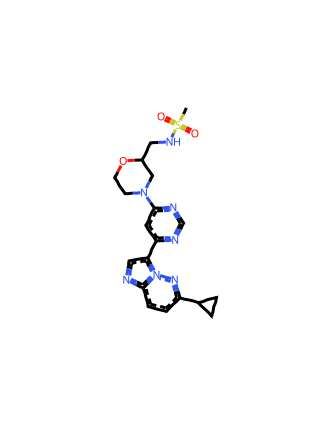 CS(=O)(=O)NCC1CN(c2cc(-c3cnc4ccc(C5CC5)nn34)ncn2)CCO1